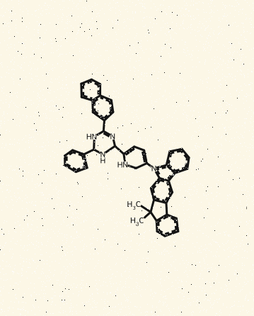 CC1(C)c2ccccc2-c2cc3c4ccccc4n(C4=CC=C(C5N=C(c6ccc7ccccc7c6)NC(c6ccccc6)N5)NC4)c3cc21